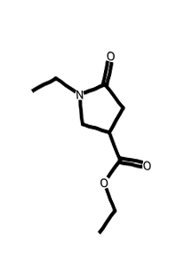 CCOC(=O)C1CC(=O)N(CC)C1